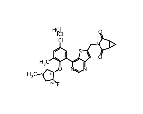 Cc1cc(Cl)cc(-c2ncnc3cc(CN4C(=O)C5CC5C4=O)sc23)c1O[C@@H]1CN(C)C[C@@H]1F.Cl.Cl